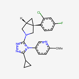 COc1ccc(-n2c(C3CC3)nnc2N2C[C@@H]3C[C@]3(c3ccc(F)cc3Cl)C2)cn1